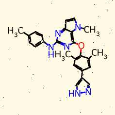 Cc1ccc(Nc2nc(Oc3c(C)cc(-c4cn[nH]c4)cc3C)c3c(ccn3C)n2)cc1